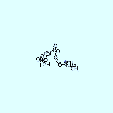 CCCNCC(/C=N\C)c1cccc(CCOCCC(=O)N(CCNCCc2ccc(O)c3c2OCC(=O)N3)C2CCCC2)c1